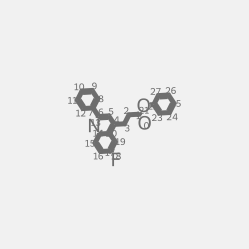 O=C(CCc1cc(-c2ccccc2)nc2ccc(F)cc12)Oc1ccccc1